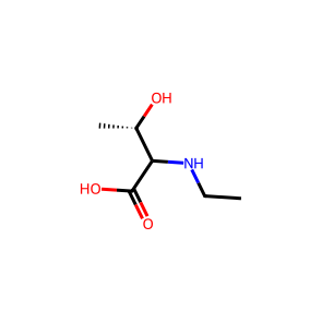 CCNC(C(=O)O)[C@H](C)O